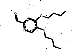 CCCCOc1cnc(C=O)cc1OCCCC